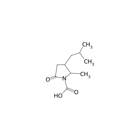 CC(C)CC1CC(=O)N(C(=O)O)C1C